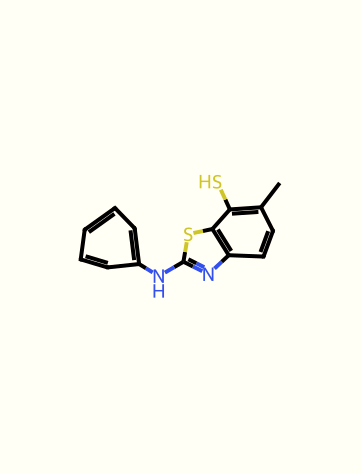 Cc1ccc2nc(Nc3ccccc3)sc2c1S